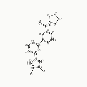 Cc1nc(-c2cc(-c3cncc(C(=O)N4CCCC4)c3)ccn2)[nH]c1C